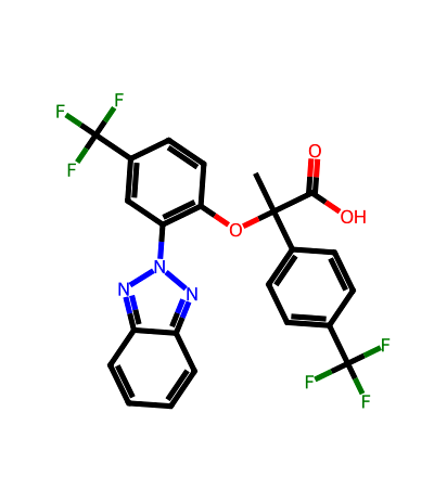 CC(Oc1ccc(C(F)(F)F)cc1-n1nc2ccccc2n1)(C(=O)O)c1ccc(C(F)(F)F)cc1